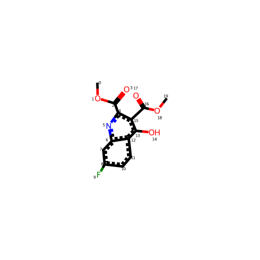 COC(=O)c1nc2cc(F)ccc2c(O)c1C(=O)OC